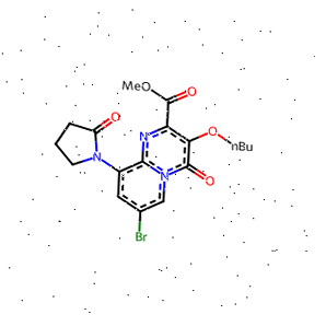 CCCCOc1c(C(=O)OC)nc2c(N3CCCC3=O)cc(Br)cn2c1=O